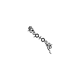 CCCCOC[C@@H](COc1ccc(C(C)(C)c2ccc(OC[C@H](CCl)OC(C)=O)c(C)c2)cc1)OC(C)=O